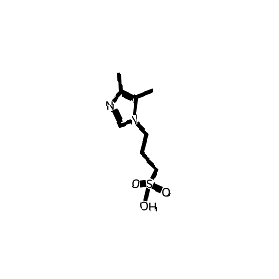 Cc1ncn(CCCS(=O)(=O)O)c1C